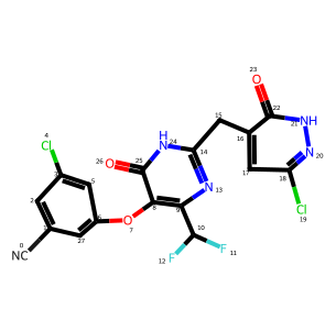 N#Cc1cc(Cl)cc(Oc2c(C(F)F)nc(Cc3cc(Cl)n[nH]c3=O)[nH]c2=O)c1